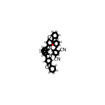 N#Cc1cc(C#N)c(-n2c3ccccc3c3cc4oc5ccccc5c4cc32)c(-n2c3ccccc3c3cc4oc5ccccc5c4cc32)c1-c1ccccc1